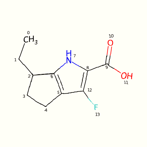 CCC1CCc2c1[nH]c(C(=O)O)c2F